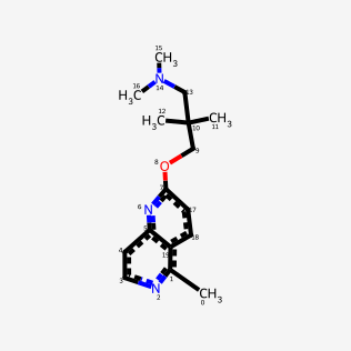 Cc1nccc2nc(OCC(C)(C)CN(C)C)ccc12